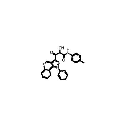 Cc1ccc(NC(=O)C(C#N)C(=O)c2nn(C3C=CCC=C3)c3c2=CSC2=CC=CCC=32)cc1